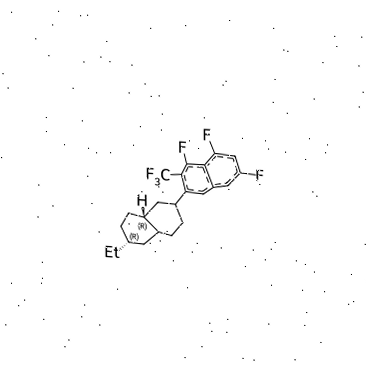 CC[C@@H]1CC[C@@H]2CC(c3cc4cc(F)cc(F)c4c(F)c3C(F)(F)F)CCC2C1